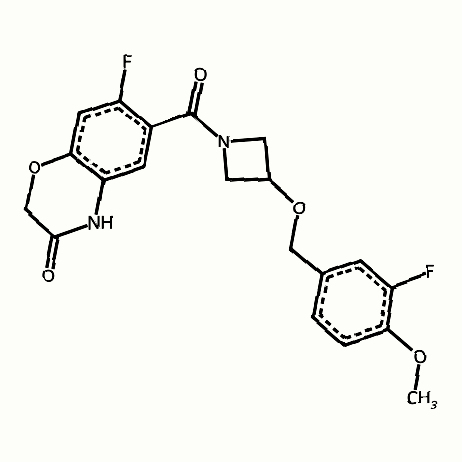 COc1ccc(COC2CN(C(=O)c3cc4c(cc3F)OCC(=O)N4)C2)cc1F